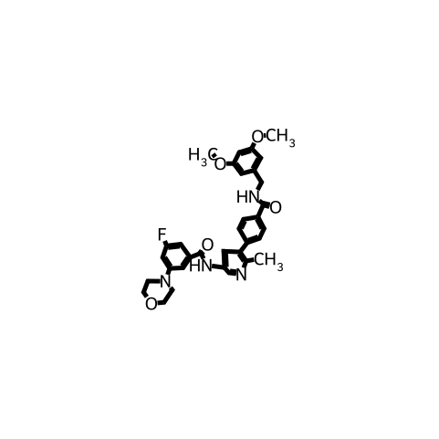 COc1cc(CNC(=O)c2ccc(-c3cc(NC(=O)c4cc(F)cc(N5CCOCC5)c4)cnc3C)cc2)cc(OC)c1